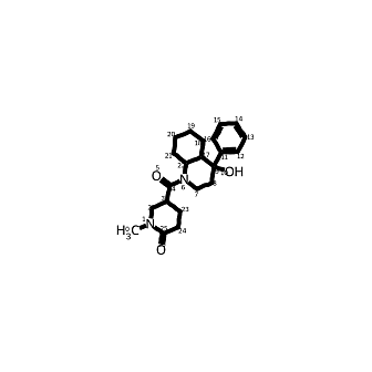 CN1CC(C(=O)N2CCC(O)(c3ccccc3)C3CCCCC32)CCC1=O